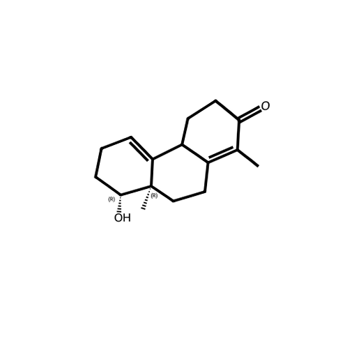 CC1=C2CC[C@]3(C)C(=CCC[C@H]3O)C2CCC1=O